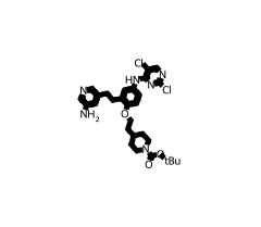 CC(C)(C)OC(=O)N1CCC(CCOc2ccc(Nc3nc(Cl)ncc3Cl)cc2CCc2cncc(N)c2)CC1